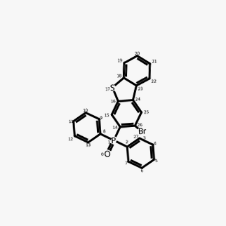 O=P(c1ccccc1)(c1ccccc1)c1cc2sc3ccccc3c2cc1Br